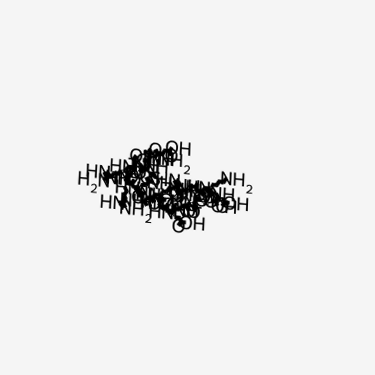 CSCC[C@H](NC(=O)[C@@H](NC(=O)[C@@H](N)CC(=O)O)C(C)C)C(=O)N[C@H](C(=O)N[C@@H](CCCNC(=N)N)C(=O)N[C@@H](CCCNC(=N)N)C(=O)N[C@@H](CCC(N)=O)C(=O)N[C@H](C(=O)N[C@@H](CCCNC(=N)N)C(=O)N[C@@H](C)C(=O)N[C@@H](CCC(=O)O)C(=O)N[C@@H](CCC(N)=O)C(=O)N[C@H](C(=O)N[C@H](C(=O)N[C@@H](CCCCN)C(=O)N[C@@H](CC(=O)O)C(=O)O)C(C)C)[C@@H](C)O)C(C)C)[C@@H](C)O